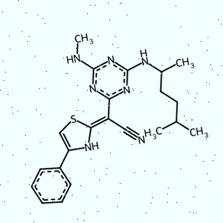 CNc1nc(NC(C)CCC(C)C)nc(C(C#N)=C2NC(c3ccccc3)=CS2)n1